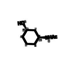 CC(=O)N[C@H]1CCC[C@H](O)C1